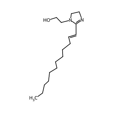 CCCCCCCCCCC=CC1=NCCN1CCO